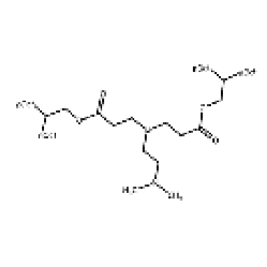 CCCCCCCCC(CCCCCCCC)COC(=O)CCN(CCC(=O)OCC(CCCCCCCC)CCCCCCCC)CCN(C)C